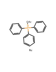 CC(=O)O[PH](c1ccccc1)(c1ccccc1)c1ccccc1.[Ru]